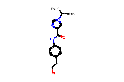 CCCCCCC(C(=O)OCC)n1cnc(C(=O)Nc2ccc(CCO)cc2)c1